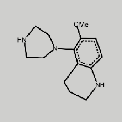 COc1ccc2c(c1N1CCNCC1)CCCN2